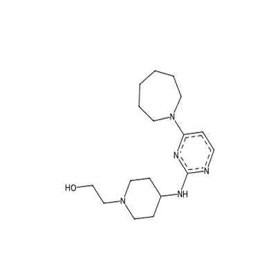 OCCN1CCC(Nc2nccc(N3CCCCCC3)n2)CC1